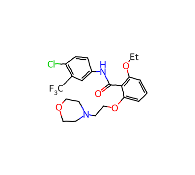 CCOc1cccc(OCCN2CCOCC2)c1C(=O)Nc1ccc(Cl)c(C(F)(F)F)c1